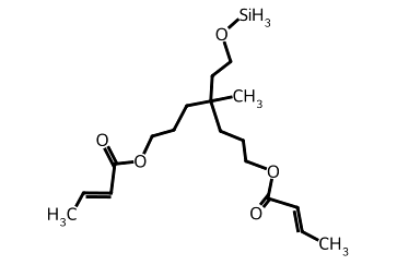 CC=CC(=O)OCCCC(C)(CCCOC(=O)C=CC)CCO[SiH3]